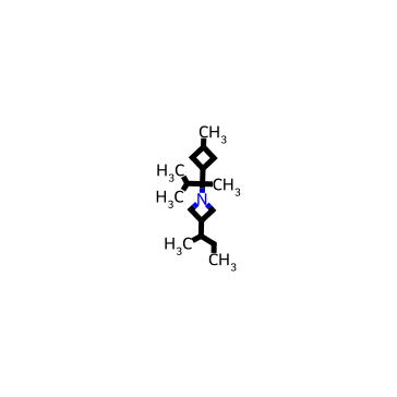 CCC(C)C1CN(C(C)(C(C)C)C2CC(C)C2)C1